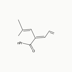 C=C/C=C(\C=C(C)C)C(=O)CCC